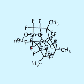 CCCC[O][Sn]([O][Sn]([O]CCCC)([C](F)(F)C(F)(F)C(C)F)[C](F)(F)C(F)(F)C(C)F)([C](F)(F)C(F)(F)C(C)F)[C](F)(F)C(F)(F)C(C)F